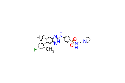 Cc1cc(F)ccc1-c1cc2nnc(Nc3ccc(S(=O)(=O)NCCN4CCCC4)cc3)nc2cc1C